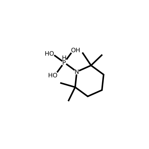 CC1(C)CCCC(C)(C)N1[PH](O)(O)O